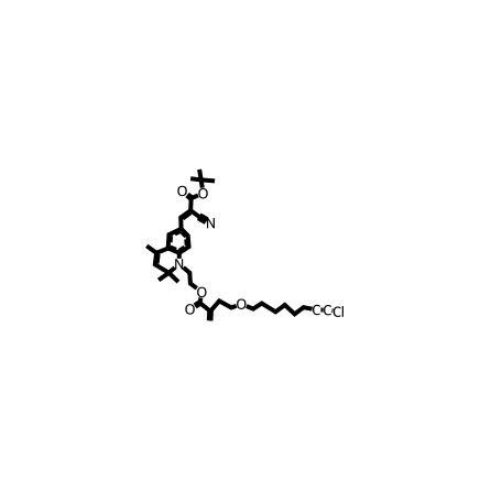 C=C(CCOCCCCCCCCCl)C(=O)OCCN1c2ccc(/C=C(\C#N)C(=O)OC(C)(C)C)cc2C(C)=CC1(C)C